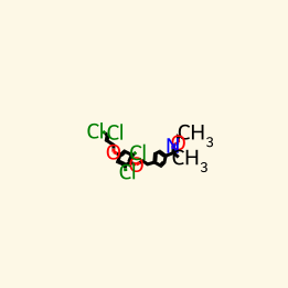 CCON=C(C)c1ccc(CCOc2c(Cl)cc(OCC=C(Cl)Cl)cc2Cl)cc1